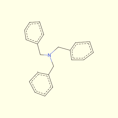 [c]1ccccc1CN(Cc1ccccc1)Cc1ccccc1